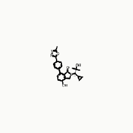 Cc1nnc(-c2ccc(-c3ccc(O)c4c3C(=O)N([C@H](C3CC3)C(C)(C)O)C4)cc2)o1